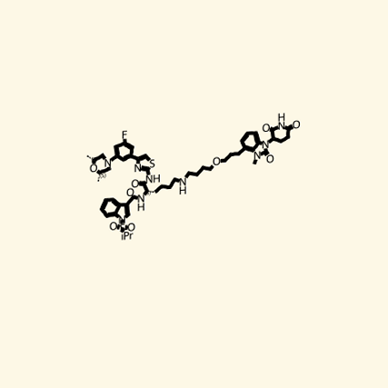 CC(C)S(=O)(=O)n1cc(C(=O)N[C@@H](CCCCNCCCCOCCCc2cccc3c2n(C)c(=O)n3C2CCC(=O)NC2=O)C(=O)Nc2nc(-c3cc(F)cc(N4C[C@@H](C)O[C@@H](C)C4)c3)cs2)c2ccccc21